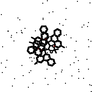 Cc1ccc2c(C(OCc3ccccc3)(c3cc4ccccc4c4cc(C)ccc34)C3OC(C)(C)OC3C(OCc3ccccc3)(c3cc4ccccc4c4cc(C)ccc34)c3cc4ccccc4c4cc(C)ccc34)cc3ccccc3c2c1